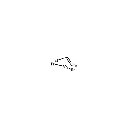 [Br][Mg][Br].[CH2]CC=C